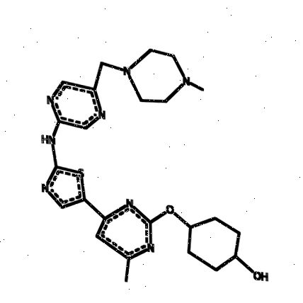 Cc1cc(-c2cnc(Nc3cnc(CN4CCN(C)CC4)cn3)s2)nc(OC2CCC(O)CC2)n1